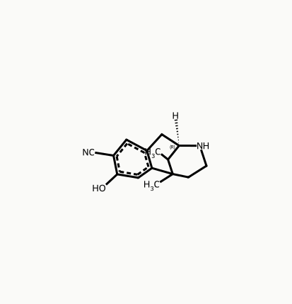 CC1[C@H]2Cc3cc(C#N)c(O)cc3C1(C)CCN2